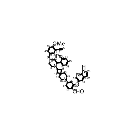 C#Cc1cc(CN2CCN(C3CC4(CCN(c5ccc(C=O)c(Oc6cnc7[nH]ccc7c6)c5)CC4)C3)C(c3ccccc3C(C)C)C2)ccc1OC